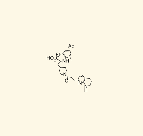 CCc1cc(C(C)=O)cc(C)c1NC(CC1CCN(C(=O)CCc2ccc3c(n2)NCCC3)CC1)C(=O)O